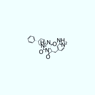 NC(=O)[C@@H]1[C@@H](Cc2ccnc(N)c2)C(=O)N1C(=O)N1CCC[C@@H](c2ccccc2)C1